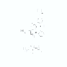 Cn1c(=O)n(CCCO[Si](C)(C)C(C)(C)C)c(=O)c2c(C(O)c3ccccc3)c(-c3cccc(OC(F)(F)F)c3)ncc21